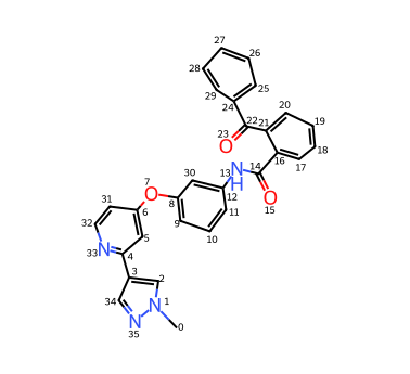 Cn1cc(-c2cc(Oc3cccc(NC(=O)c4ccccc4C(=O)c4ccccc4)c3)ccn2)cn1